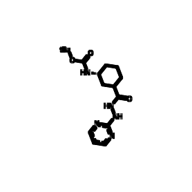 CC(C)(C)OC(=O)N[C@@H]1CCCC(C(=O)NNc2ncccn2)C1